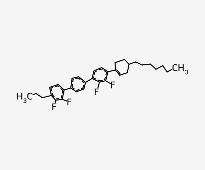 CCCCCCCC1CC=C(c2ccc(-c3ccc(-c4ccc(CCC)c(F)c4F)cc3)c(F)c2F)CC1